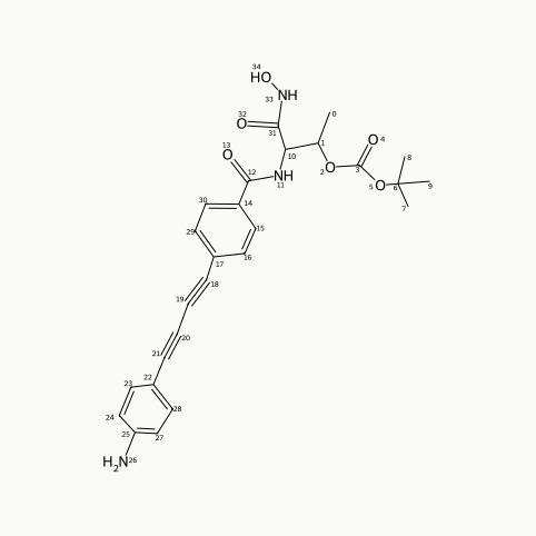 CC(OC(=O)OC(C)(C)C)C(NC(=O)c1ccc(C#CC#Cc2ccc(N)cc2)cc1)C(=O)NO